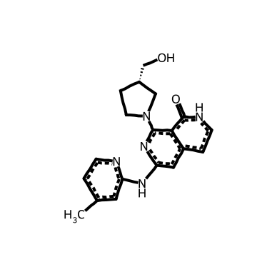 Cc1ccnc(Nc2cc3cc[nH]c(=O)c3c(N3CC[C@H](CO)C3)n2)c1